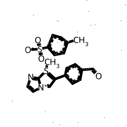 CS1=C(c2ccc(C=O)cc2)C=[N+]2C=CN=C21.Cc1ccc(S(=O)(=O)[O-])cc1